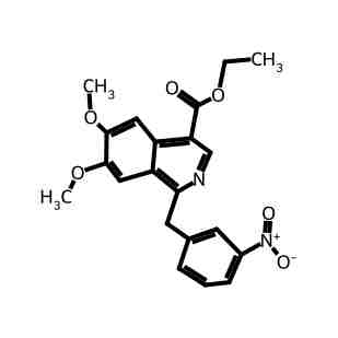 CCOC(=O)c1cnc(Cc2cccc([N+](=O)[O-])c2)c2cc(OC)c(OC)cc12